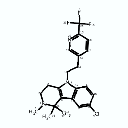 CN1CCc2c(c3cc(Cl)ccc3n2CCc2ccc(C(F)(F)F)nc2)C1(C)C